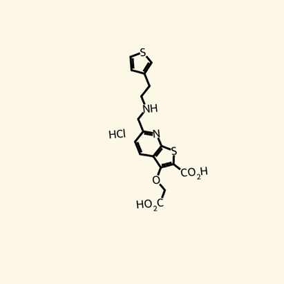 Cl.O=C(O)COc1c(C(=O)O)sc2nc(CNCCc3ccsc3)ccc12